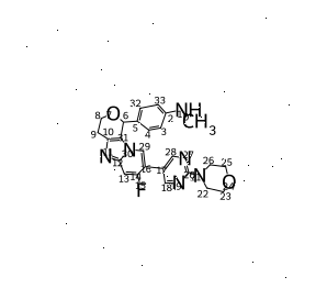 CNc1ccc(C2OCCc3nc4cc(F)c(-c5cnc(N6CCOCC6)nc5)cn4c32)cc1